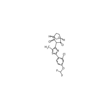 Cc1sc(-c2ccc(OC(F)F)cc2Cl)nc1C1C(=O)[C@@H]2CC[C@@H](C2)C1=O